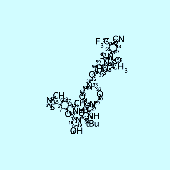 Cc1ncsc1-c1ccc([C@H](C)NC(=O)[C@@H]2C[C@@H](O)CN2C(=O)[C@@H](NC(=O)CN2CCOCCN(CCOc3ccc(N4C(=S)N(c5ccc(C#N)c(C(F)(F)F)c5)C(=O)C4(C)C)cc3)CCOCC2)C(C)(C)C)cc1